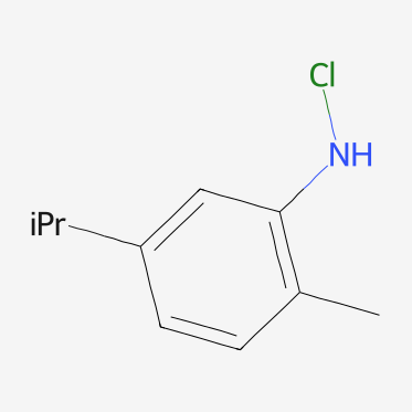 Cc1ccc(C(C)C)cc1NCl